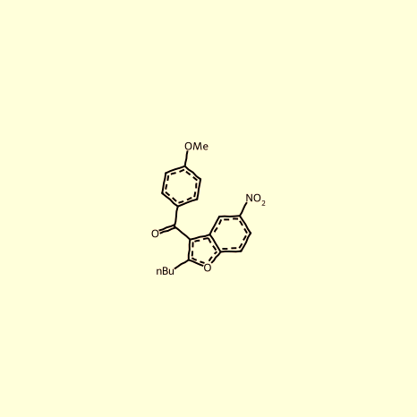 CCCCc1oc2ccc([N+](=O)[O-])cc2c1C(=O)c1ccc(OC)cc1